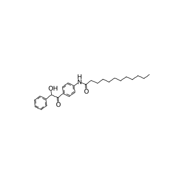 CCCCCCCCCCCC(=O)Nc1ccc(C(=O)C(O)c2ccccc2)cc1